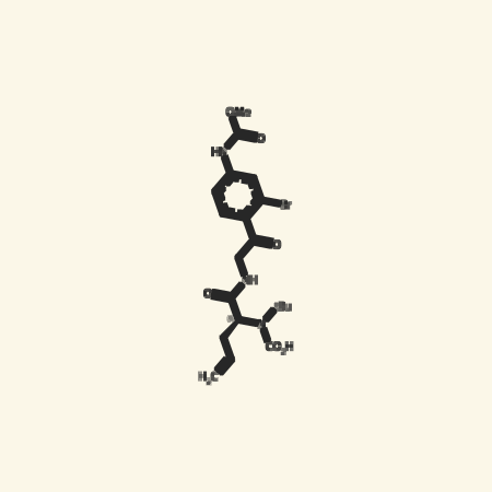 C=CC[C@@H](C(=O)NCC(=O)c1ccc(NC(=O)OC)cc1Br)N(C(=O)O)C(C)(C)C